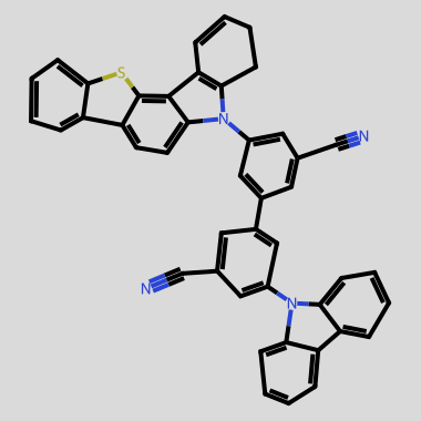 N#Cc1cc(-c2cc(C#N)cc(-n3c4ccccc4c4ccccc43)c2)cc(-n2c3c(c4c5sc6ccccc6c5ccc42)C=CCC3)c1